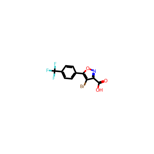 O=C(O)c1noc(-c2ccc(C(F)(F)F)cc2)c1Br